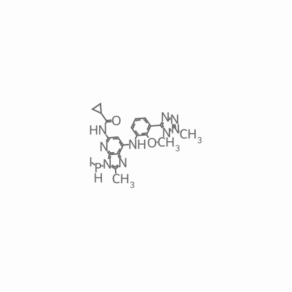 COc1c(Nc2cc(NC(=O)C3CC3)nc3c2nc(C)n3PI)cccc1-c1nnn(C)n1